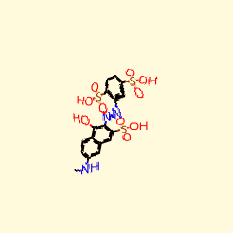 CNc1ccc2c(O)c(N=Nc3cc(S(=O)(=O)O)ccc3S(=O)(=O)O)c(S(=O)(=O)O)cc2c1